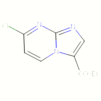 CCOC(=O)c1cnc2nc(Cl)ccn12